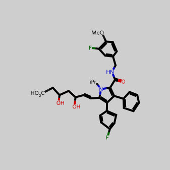 COc1ccc(CNC(=O)c2c(-c3ccccc3)c(-c3ccc(F)cc3)c(C=CC(O)CC(O)CC(=O)O)n2C(C)C)cc1F